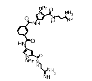 CCCn1cc(NC(=O)c2cccc(C(=O)Nc3cc(C(=O)NCCC(=N)N)n(CCC)c3)c2)cc1C(=O)NCCC(=N)N